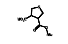 CCCCOC(=O)C1CSCC1C(=O)O